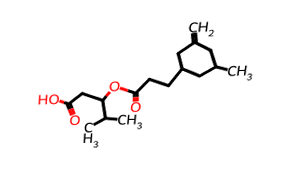 C=C1CC(C)CC(CCC(=O)OC(CC(=O)O)C(C)C)C1